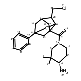 CC1(C)CN(C(=S)C23CC4CC(c5ccccc5)(CC2C4CCl)C3)CC[C@@H]1N